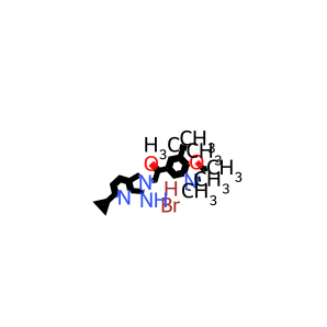 Br.CCOc1c(N(C)C)cc(C(=O)CN2Cc3ccc(C4CC4)nc3C2=N)cc1C(C)(C)C